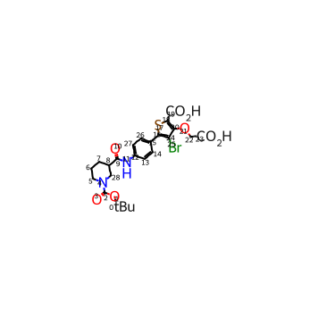 CC(C)(C)OC(=O)N1CCCC(C(=O)Nc2ccc(-c3sc(C(=O)O)c(OCC(=O)O)c3Br)cc2)C1